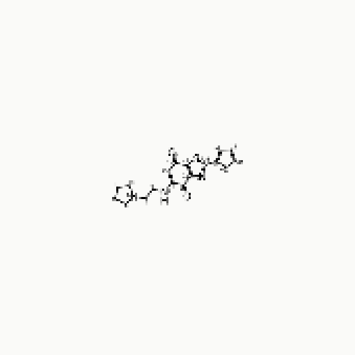 O=C1C(NCCN2CCCC2)=CC(=O)c2sc(-c3cccs3)nc21